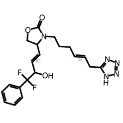 O=C1OCC(/C=C/C(O)C(F)(F)c2ccccc2)N1CCC/C=C/Cc1nnn[nH]1